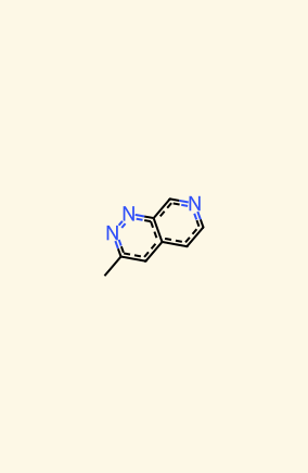 Cc1cc2ccncc2nn1